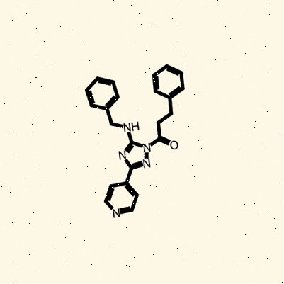 O=C(CCc1ccccc1)n1nc(-c2ccncc2)nc1NCc1ccccc1